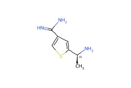 C[C@H](N)c1cc(C(=N)N)cs1